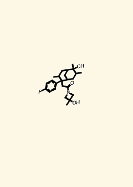 CC1CC2CC(CC(C)C2(CC(=O)N2CC(C)(O)C2)c2ccc(F)cc2)C1(C)O